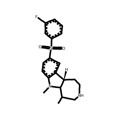 CC1CNCC[C@H]2c3cc(S(=O)(=O)c4cccc(F)c4)ccc3N(C)C12